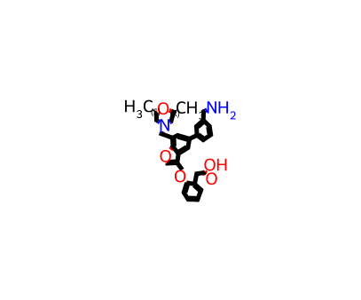 C[C@@H]1CN(Cc2cc(-c3cccc(CN)c3)cc3c(COc4ccccc4CC(=O)O)coc23)C[C@H](C)O1